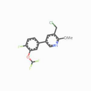 COc1ncc(-c2ccc(F)c(OC(F)F)c2)cc1CCl